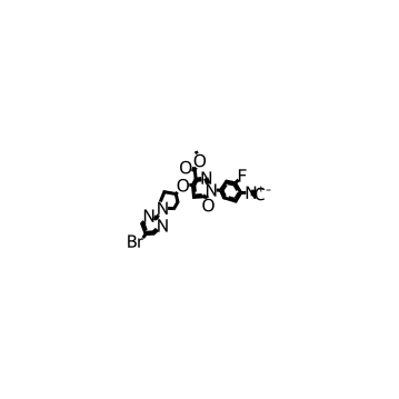 [C-]#[N+]c1ccc(-n2nc(C(=O)OC)c(OC3CCN(c4ncc(Br)cn4)CC3)cc2=O)cc1F